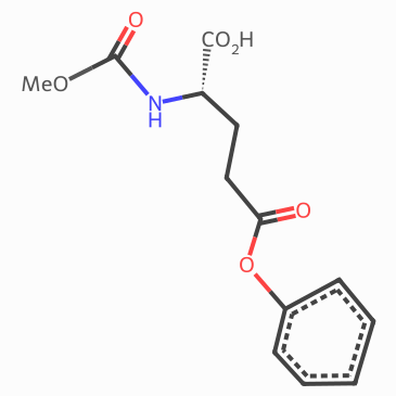 COC(=O)N[C@@H](CCC(=O)Oc1ccccc1)C(=O)O